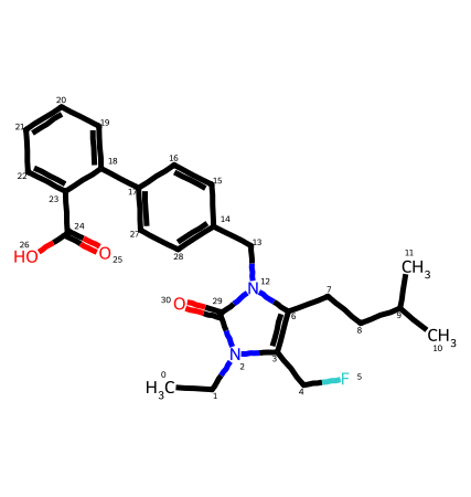 CCn1c(CF)c(CCC(C)C)n(Cc2ccc(-c3ccccc3C(=O)O)cc2)c1=O